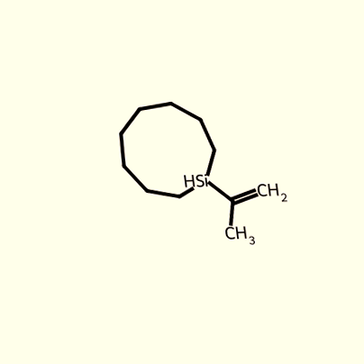 C=C(C)[SiH]1CCCCCCCC1